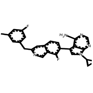 Nc1ncnc2c1c(-c1ccc3cc(Cc4cc(F)cc(Cl)c4)ncc3c1F)cn2C1CC1